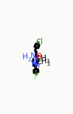 CC1(C)c2nc(-c3ccc(F)cc3)cn2CCN1C(=O)C(N)CCc1ccc(Cl)cc1